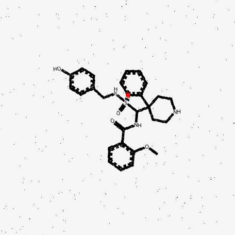 COc1ccccc1C(=O)NC(C1(c2ccccc2)CCNCC1)S(=O)(=O)NCc1ccc(O)cc1